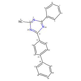 N#Cc1nc(-c2ccccc2)nc(-c2ccc(-c3ccccc3)cc2)n1